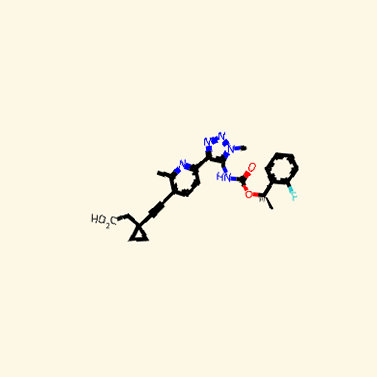 Cc1nc(-c2nnn(C)c2NC(=O)O[C@H](C)c2ccccc2F)ccc1C#CC1(CC(=O)O)CC1